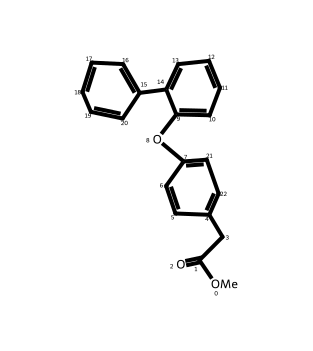 COC(=O)Cc1ccc(Oc2ccccc2-c2ccccc2)cc1